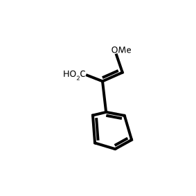 CO/C=C(\C(=O)O)c1ccccc1